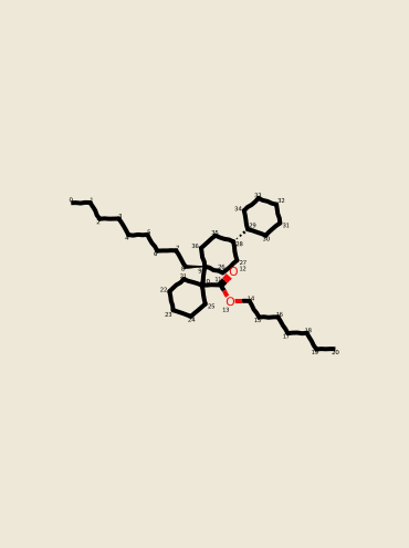 CCCCCCCCC[C@]1(C2(C(=O)OCCCCCCC)CCCCC2)CC[C@@H](C2CCCCC2)CC1